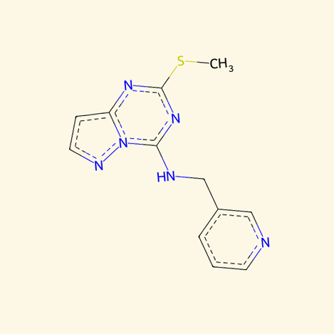 CSc1nc(NCc2cccnc2)n2nccc2n1